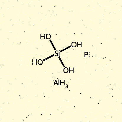 O[Si](O)(O)O.[AlH3].[P]